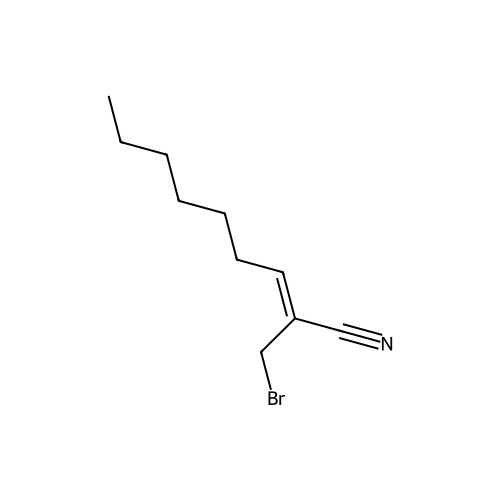 CCCCCC/C=C(/C#N)CBr